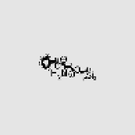 C[Si](C)(C)CCOC(=O)C[C@H](N)C(=O)OCc1ccccc1